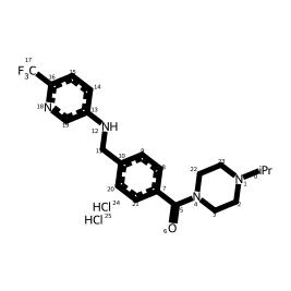 CC(C)N1CCN(C(=O)c2ccc(CNc3ccc(C(F)(F)F)nc3)cc2)CC1.Cl.Cl